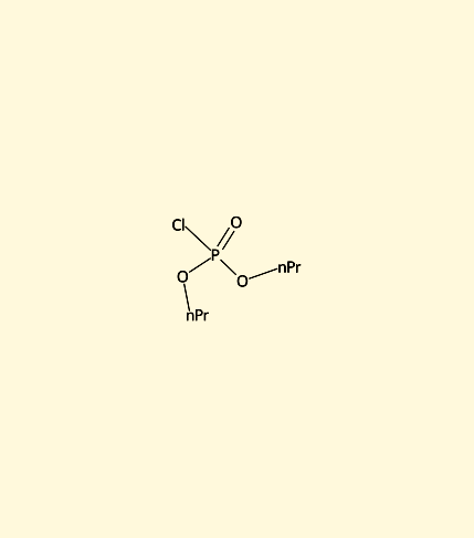 CCCOP(=O)(Cl)OCCC